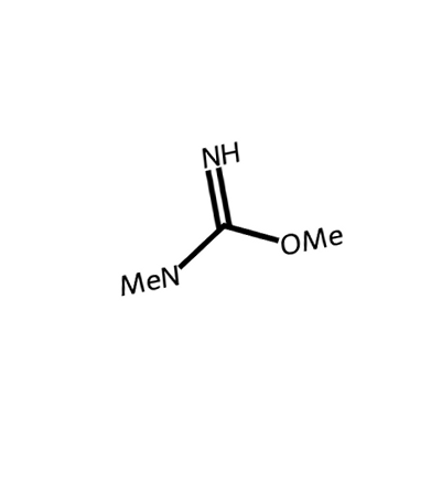 CNC(=N)OC